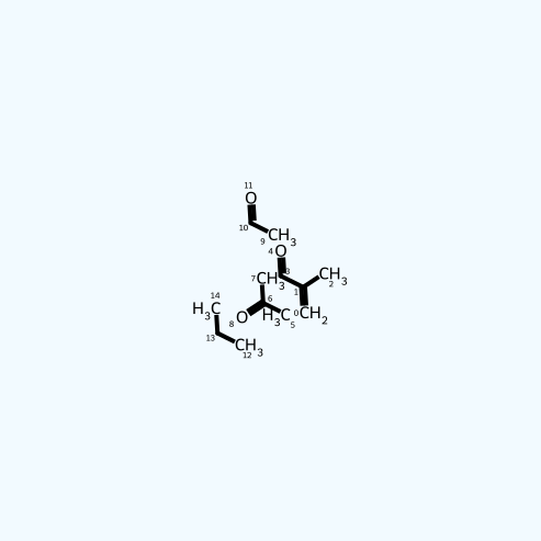 C=C(C)C=O.CC(C)=O.CC=O.CCC